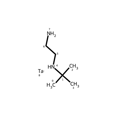 CC(C)(C)NCCN.[Ta]